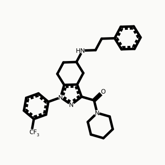 O=C(c1nn(-c2cccc(C(F)(F)F)c2)c2c1CC(NCCc1ccccc1)CC2)N1CCCCC1